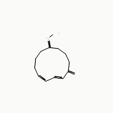 O=C1/C=C/C=C\CCCC(=NO)CCC1